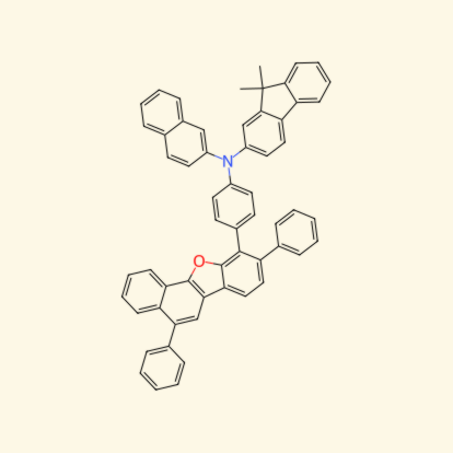 CC1(C)c2ccccc2-c2ccc(N(c3ccc(-c4c(-c5ccccc5)ccc5c4oc4c6ccccc6c(-c6ccccc6)cc54)cc3)c3ccc4ccccc4c3)cc21